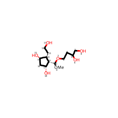 COC(OCCC(O)CO)[C@H]1[C@@H](CCO)[C@@H](O)C[C@H]1O